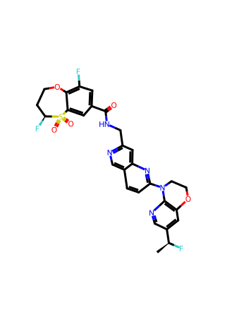 C[C@H](F)c1cnc2c(c1)OCCN2c1ccc2cnc(CNC(=O)c3cc(F)c4c(c3)S(=O)(=O)[C@@H](F)CCO4)cc2n1